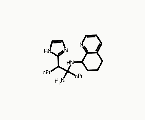 CCCC(c1ncc[nH]1)C(N)(CCC)NC1CCCc2cccnc21